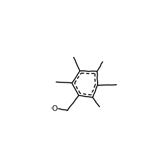 Cc1c(C)c(C)c(C[O])c(C)c1C